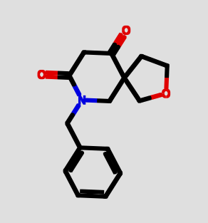 O=C1CC(=O)C2(CCOC2)CN1Cc1ccccc1